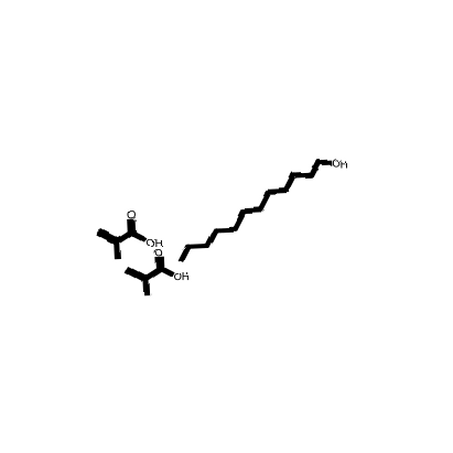 C=C(C)C(=O)O.C=C(C)C(=O)O.CCCCCCCCCCCCO